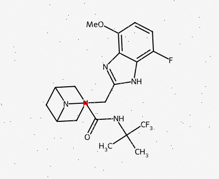 COc1ccc(F)c2[nH]c(CN3CC4CC(C3)N4CC(=O)NC(C)(C)C(F)(F)F)nc12